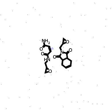 NC(=O)/C=C\C(=O)NCC1CO1.O=C1C2CC=CCC2C(=O)N1CC1CO1